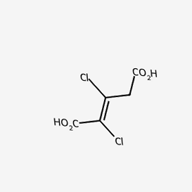 O=C(O)CC(Cl)=C(Cl)C(=O)O